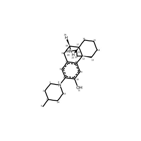 CC1CCN(c2cc3c(cc2O)[C@@]24CCCC[C@H]2[C@@H](C3)NCC4)CC1